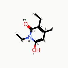 CCc1c(C)cc(O)n(CC)c1=O